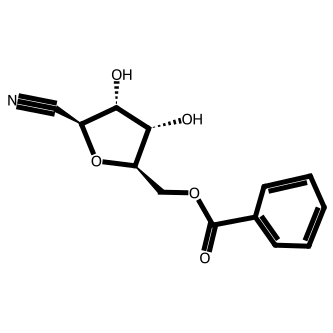 N#C[C@@H]1O[C@H](COC(=O)c2ccccc2)[C@@H](O)[C@H]1O